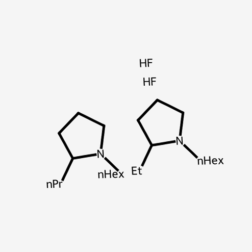 CCCCCCN1CCCC1CC.CCCCCCN1CCCC1CCC.F.F